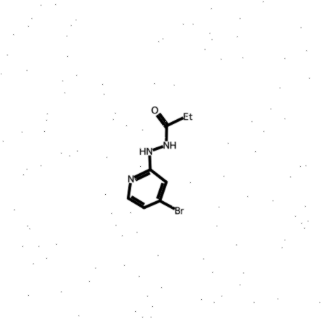 CCC(=O)NNc1cc(Br)ccn1